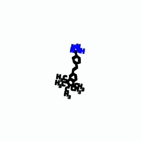 CC1C(C)(C)c2ccc(C=Cc3ccc(-c4nnn[nH]4)cc3)cc2C1(C)C